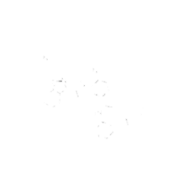 CC(C)(C)OC(=O)Cc1cc(F)ccc1NC(=O)c1ccc(N2CCCCC2)c(NC(=O)c2nn(CCN3CCCC3)c3ccccc23)c1